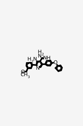 COCc1cccc(-c2ncc(-c3ccc(Oc4ccccc4)cc3)c(C(=N)N)c2N)c1